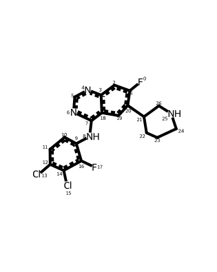 Fc1cc2ncnc(Nc3ccc(Cl)c(Cl)c3F)c2cc1C1CCCNC1